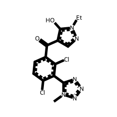 CCn1ncc(C(=O)c2ccc(Cl)c(-c3nnnn3C)c2Cl)c1O